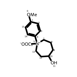 COc1ccc([N+]2(C(=O)[O-])CCCC(O)CC2)cc1